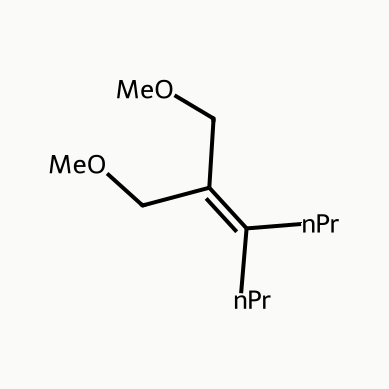 CCCC(CCC)=C(COC)COC